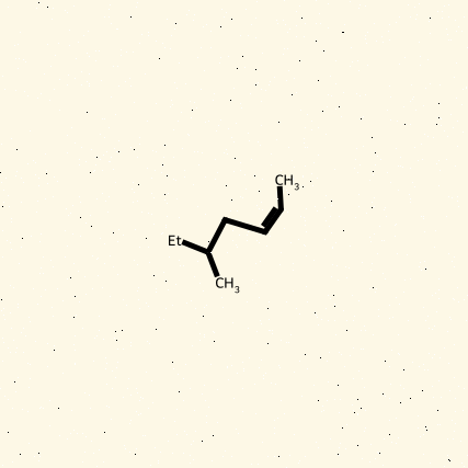 C/C=C\CC(C)CC